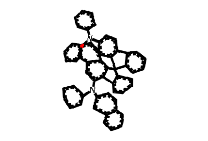 c1ccc(N(c2ccccc2)c2ccc3c(c2)C2(c4ccccc4-3)c3ccccc3-c3c(N(c4ccccc4)c4ccc5ccccc5c4)cc4ccccc4c32)cc1